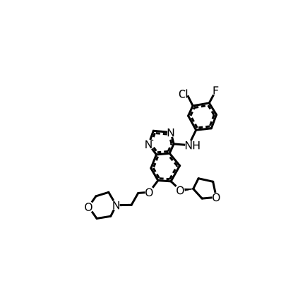 Fc1ccc(Nc2ncnc3cc(OCCN4CCOCC4)c(O[C@H]4CCOC4)cc23)cc1Cl